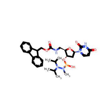 CC(C)N(C(C)C)N(C)P(O)O[C@H]1C[C@H](n2ccc(=O)[nH]c2=O)O[C@@H]1CNC(=O)OCC1c2ccccc2-c2ccccc21